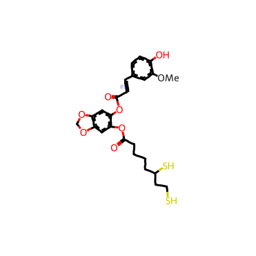 COc1cc(/C=C/C(=O)Oc2cc3c(cc2OC(=O)CCCCC(S)CCS)OCO3)ccc1O